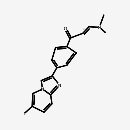 CN(C)/C=C/C(=O)c1ccc(-c2cn3cc(I)ccc3n2)cc1